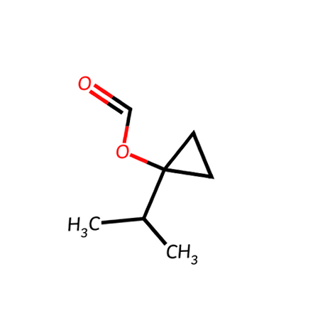 CC(C)C1(OC=O)CC1